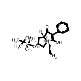 C=CC[N@@+]12C[C@@H](O[Si](C)(C)C(C)(C)C)C[C@@H]1C(=O)C(c1ccccc1)=C2O